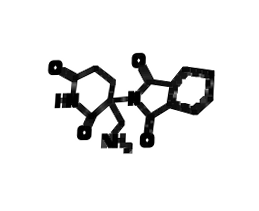 NCC1(N2C(=O)c3ccccc3C2=O)CCC(=O)NC1=O